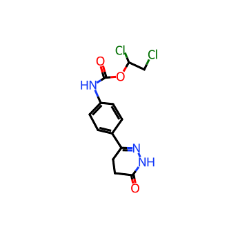 O=C1CCC(c2ccc(NC(=O)OC(Cl)CCl)cc2)=NN1